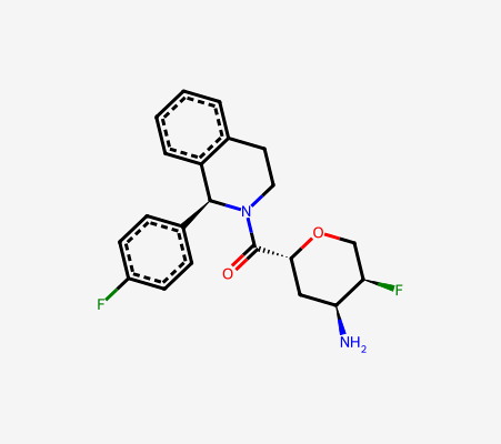 N[C@H]1C[C@H](C(=O)N2CCc3ccccc3[C@@H]2c2ccc(F)cc2)OC[C@H]1F